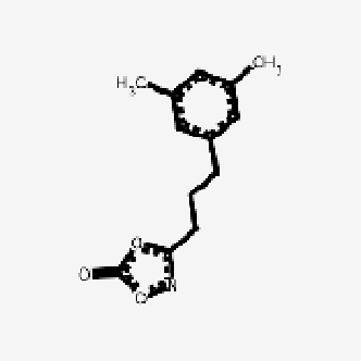 Cc1cc(C)cc(CCCc2noc(=O)o2)c1